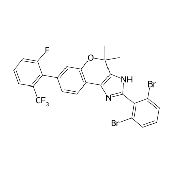 CC1(C)Oc2cc(-c3c(F)cccc3C(F)(F)F)ccc2-c2nc(-c3c(Br)cccc3Br)[nH]c21